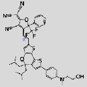 CC(C)CC1(CC(C)C)Oc2cc(/C=C/C3=C(C#N)C(=C(C#N)C#N)OC3(c3ccccc3)C(F)(F)F)sc2-c2sc(-c3ccc(N(C)CCO)cc3)cc21